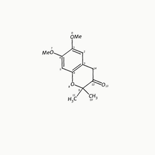 COc1cc2c(cc1OC)OC(C)(C)C(=O)C2